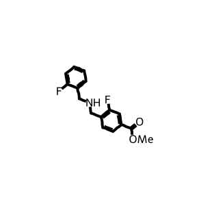 COC(=O)c1ccc(CNCc2ccccc2F)c(F)c1